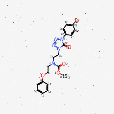 CC(C)(C)OC(=O)N(CCOc1ccccc1)CCn1nnn(-c2ccc(Br)cc2)c1=O